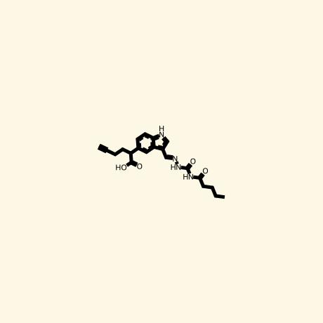 C#CCCC(C(=O)O)c1ccc2[nH]cc(/C=N/NC(=O)NC(=O)CCCC)c2c1